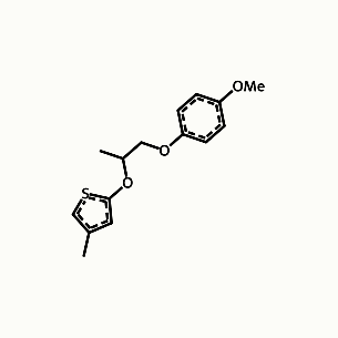 COc1ccc(OCC(C)Oc2cc(C)cs2)cc1